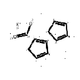 C1=CCC=C1.C1=CCC=C1.O=C[O-].[K+]